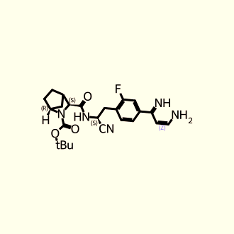 CC(C)(C)OC(=O)N1[C@@H]2CCC(C2)[C@H]1C(=O)N[C@H](C#N)Cc1ccc(C(=N)/C=C\N)cc1F